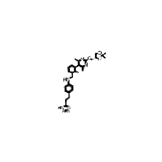 Cc1nc(OC[C@@H]2COC(C)(C)O2)nc(C)c1-c1cccc(CNc2ccc(CCc3nnn[nH]3)cc2)c1C